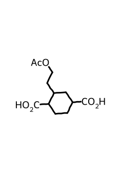 CC(=O)OCCC1CC(C(=O)O)CCC1C(=O)O